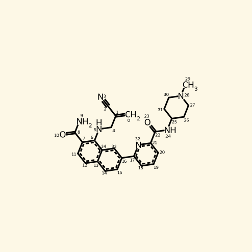 C=C(C#N)CNc1c(C(N)=O)ccc2ccc(-c3cccc(C(=O)NC4CCN(C)CC4)n3)cc12